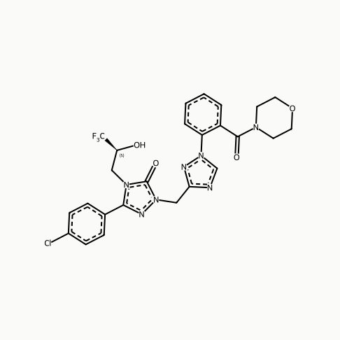 O=C(c1ccccc1-n1cnc(Cn2nc(-c3ccc(Cl)cc3)n(C[C@H](O)C(F)(F)F)c2=O)n1)N1CCOCC1